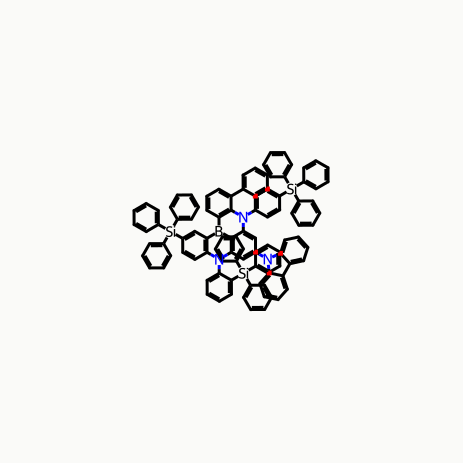 c1ccc(-c2cccc3c2N(c2ccc([Si](c4ccccc4)(c4ccccc4)c4ccccc4)cc2)c2cc(-n4c5ccccc5c5ccccc54)cc4c2B3c2cc([Si](c3ccccc3)(c3ccccc3)c3ccccc3)ccc2N4c2ccccc2[Si](c2ccccc2)(c2ccccc2)c2ccccc2)cc1